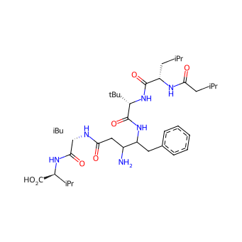 CC[C@H](C)[C@H](NC(=O)CC(N)C(Cc1ccccc1)NC(=O)[C@@H](NC(=O)[C@H](CC(C)C)NC(=O)CC(C)C)C(C)(C)C)C(=O)N[C@H](C(=O)O)C(C)C